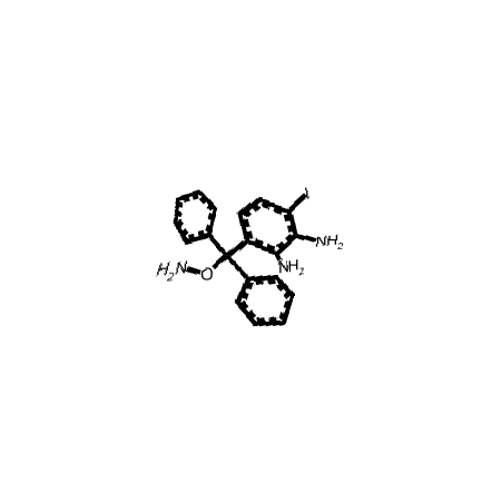 NOC(c1ccccc1)(c1ccccc1)c1ccc(I)c(N)c1N